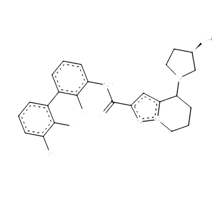 O=C(Nc1cccc(-c2cccc(Br)c2Cl)c1Cl)c1cc2n(n1)CCCC2N1CC[C@@H](O)C1